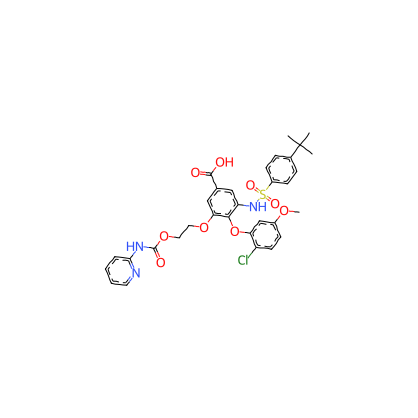 COc1ccc(Cl)c(Oc2c(NS(=O)(=O)c3ccc(C(C)(C)C)cc3)cc(C(=O)O)cc2OCCOC(=O)Nc2ccccn2)c1